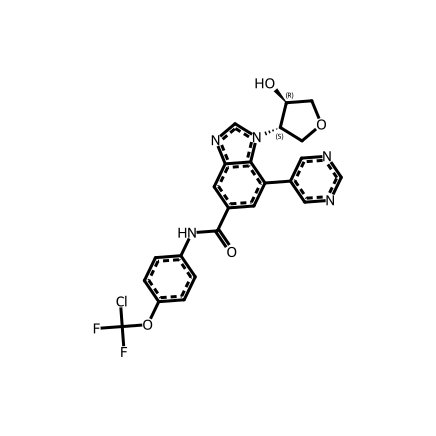 O=C(Nc1ccc(OC(F)(F)Cl)cc1)c1cc(-c2cncnc2)c2c(c1)ncn2[C@H]1COC[C@@H]1O